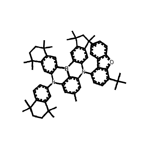 Cc1cc2c3c(c1)N(c1ccc(C(C)(C)C)c4oc5ccccc5c14)c1cc4c(cc1B3c1cc3c(cc1N2c1ccc2c(c1)C(C)(C)CCC2(C)C)C(C)(C)CCC3(C)C)C(C)(C)CC4(C)C